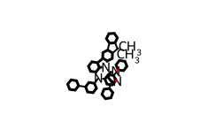 CC1(C)c2ccccc2-c2cc3c4cccc(N(c5cccc(-c6ccccc6)c5)c5cccc(-c6ccccc6)c5)c4n(-c4cc(-c5ccccc5)ncn4)c3cc21